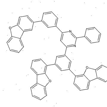 c1ccc(-c2nc(-c3cccc(-c4ccc5oc6ccccc6c5c4)c3)cc(-c3cc(-c4cccc5c4oc4ccccc45)cc(-c4cccc5c4oc4ccccc45)c3)n2)cc1